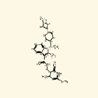 Cc1cc(C)c(CNC(=O)c2c(C)n([C@@H](C)C3CCN(C4CN(C)C4)CC3)c3ccccc23)c(=O)[nH]1